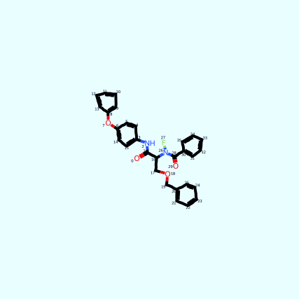 O=C(Nc1ccc(Oc2ccccc2)cc1)C(COCc1ccccc1)N(F)C(=O)c1ccccc1